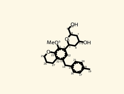 COc1c(C2CC(O)CC(CO)O2)cc(Cc2ccc(C)cc2)c2c1OCCC2